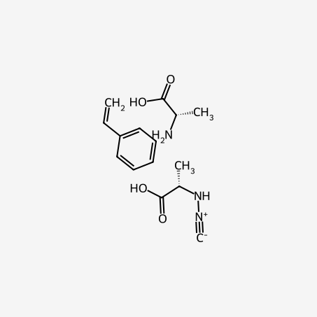 C=Cc1ccccc1.C[C@H](N)C(=O)O.[C-]#[N+]N[C@@H](C)C(=O)O